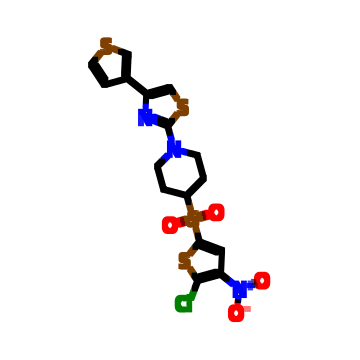 O=[N+]([O-])c1cc(S(=O)(=O)C2CCN(c3nc(-c4ccsc4)cs3)CC2)sc1Cl